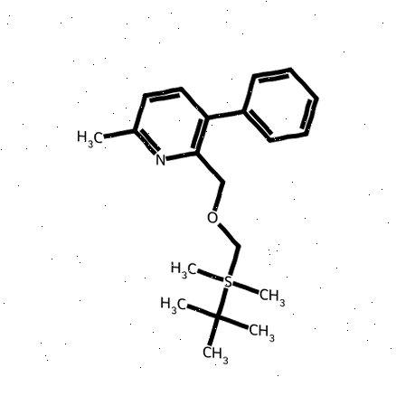 Cc1ccc(-c2ccccc2)c(COCS(C)(C)C(C)(C)C)n1